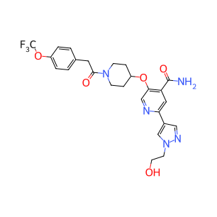 NC(=O)c1cc(-c2cnn(CCO)c2)ncc1OC1CCN(C(=O)Cc2ccc(OC(F)(F)F)cc2)CC1